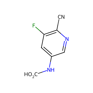 N#Cc1ncc(NC(=O)O)cc1F